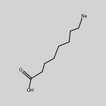 O=C(O)CCCCCC[CH2][Na]